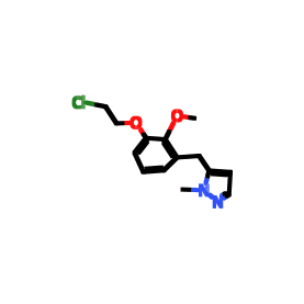 COc1c(Cc2ccnn2C)cccc1OCCCl